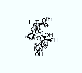 C#C[C@@]1(Cl)C(O)[C@@H](COP(=O)(Oc2ccccc2)O[C@@H](C)C(=O)OC(C)C)O[C@H]1n1cnc(=O)[nH]c1=O